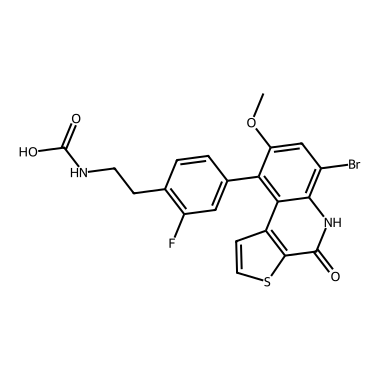 COc1cc(Br)c2[nH]c(=O)c3sccc3c2c1-c1ccc(CCNC(=O)O)c(F)c1